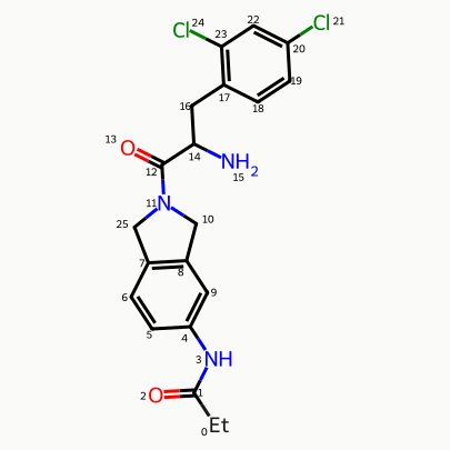 CCC(=O)Nc1ccc2c(c1)CN(C(=O)C(N)Cc1ccc(Cl)cc1Cl)C2